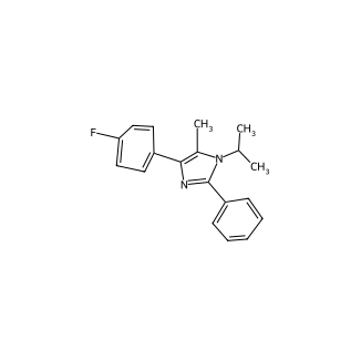 Cc1c(-c2ccc(F)cc2)nc(-c2ccccc2)n1C(C)C